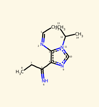 C/C=N\c1c(C(=N)CC)ncn1C(C)C